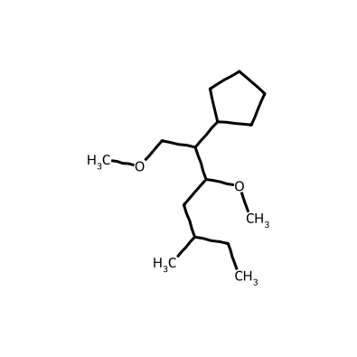 CCC(C)CC(OC)C(COC)C1CCCC1